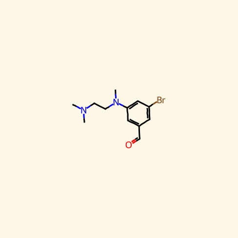 CN(C)CCN(C)c1cc(Br)cc(C=O)c1